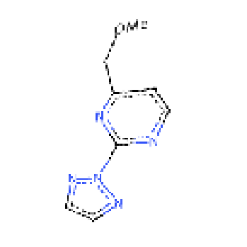 COCc1ccnc(-n2nccn2)n1